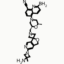 Bc1ccc2c(N3C[C@H](CN4CC5(C4)OCc4cc(N6CC(C)(N)C6)ncc45)O[C@H](C)C3)ccc(C#N)c2n1